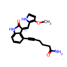 COc1cc[nH]c1/C=C1\C(=O)Nc2cccc(C#CCCCC(N)=O)c21